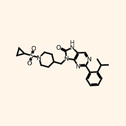 CC(C)c1ccccc1-c1ncc2[nH]c(=O)n(CC3CCN(S(=O)(=O)C4CC4)CC3)c2n1